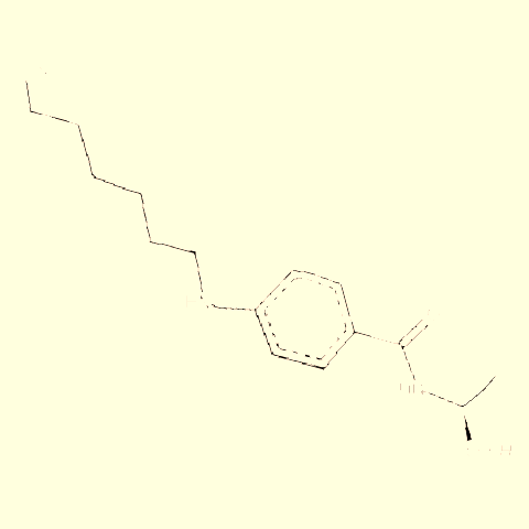 CCCCCCCCCCCCCCCCNc1ccc(C(=O)N[C@@H](C)C(=O)O)cc1